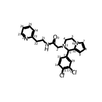 O=C(CN1CCn2cccc2C1c1ccc(Cl)c(Cl)c1)NCCc1ccccn1